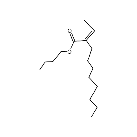 CC=C(CCCCCCCC)C(=O)OCCCC